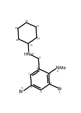 CNc1c(Br)cc(Br)cc1CNC1CCCCC1